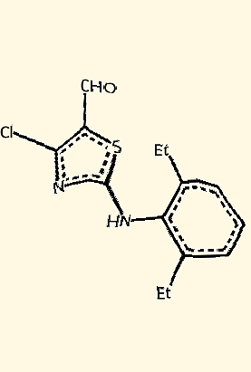 CCc1cccc(CC)c1Nc1nc(Cl)c(C=O)s1